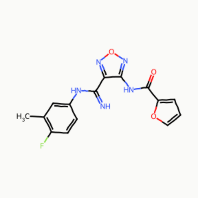 Cc1cc(NC(=N)c2nonc2NC(=O)c2ccco2)ccc1F